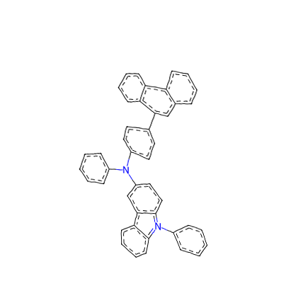 c1ccc(N(c2ccc(-c3cc4ccccc4c4ccccc34)cc2)c2ccc3c(c2)c2ccccc2n3-c2ccccc2)cc1